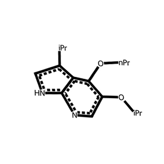 CCCOc1c(OC(C)C)cnc2[nH]cc(C(C)C)c12